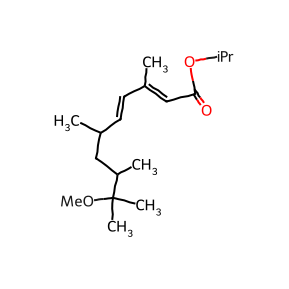 COC(C)(C)C(C)CC(C)C=CC(C)=CC(=O)OC(C)C